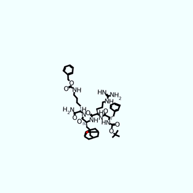 CC(C)(C)OC(=O)N[C@@H](Cc1ccccc1)C(=O)N[C@H](CCCNC(=N)N)C(=O)N[C@@H](CC12CC3CC(CC(C3)C1)C2)C(=O)N[C@@H](CCCCNC(=O)OCc1ccccc1)C(N)=O